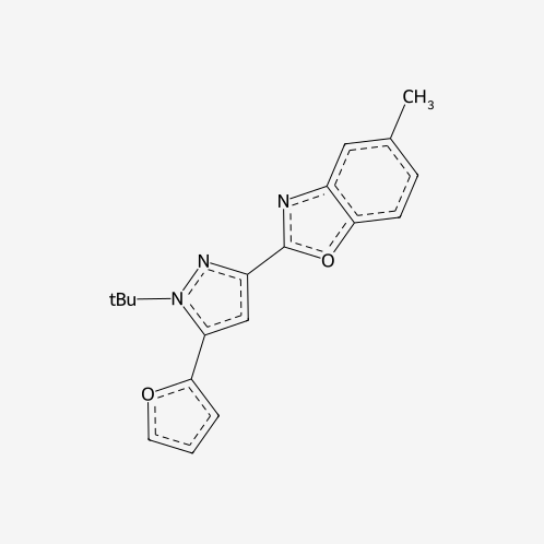 Cc1ccc2oc(-c3cc(-c4ccco4)n(C(C)(C)C)n3)nc2c1